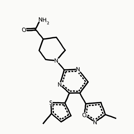 Cc1cc(-c2cnc(N3CCC(C(N)=O)CC3)nc2-c2ccc(C)s2)on1